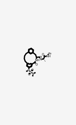 CC(C)NC(=O)[C@H](C)NCC1Cc2cccc(c2)CCCCc2cc(cc(N(C)S(=O)(=O)N(C)C)c2)C(=O)N1